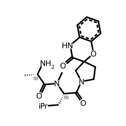 CC(C)C[C@@H](C(=O)N1CCC2(C1)Oc1ccccc1NC2=O)N(C)C(=O)[C@H](C)N